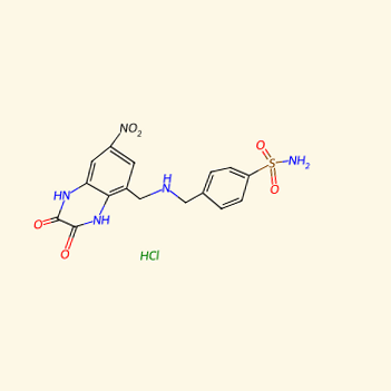 Cl.NS(=O)(=O)c1ccc(CNCc2cc([N+](=O)[O-])cc3[nH]c(=O)c(=O)[nH]c23)cc1